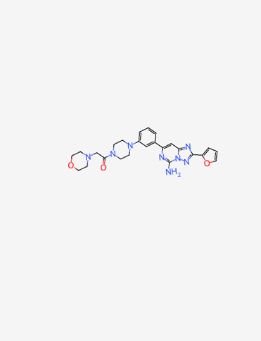 Nc1nc(-c2cccc(N3CCN(C(=O)CN4CCOCC4)CC3)c2)cc2nc(-c3ccco3)nn12